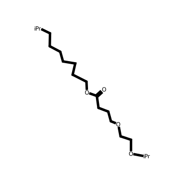 CC(C)CCCCCCCOC(=O)CCCOCCOC(C)C